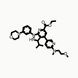 CCOC(=O)c1cc(-c2ccc(N(C)CCOC)nc2)c2c(n1)N(c1cccc(N3CCOCC3)c1)NC2C(C)C